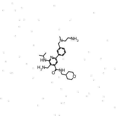 CC(C)Nc1nc(-c2cccc(CN(C)CCN)c2)cc(C(=O)NCC2CCOCC2)c1CN